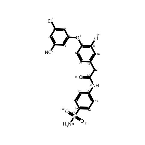 N#Cc1cc(Cl)cc(Oc2ccc(CC(=O)Nc3ccc(S(N)(=O)=O)cc3)cc2Cl)c1